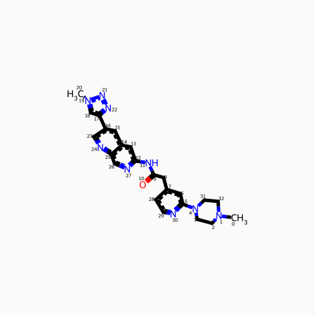 CN1CCN(c2cc(CC(=O)Nc3cc4cc(-c5cn(C)nn5)cnc4cn3)ccn2)CC1